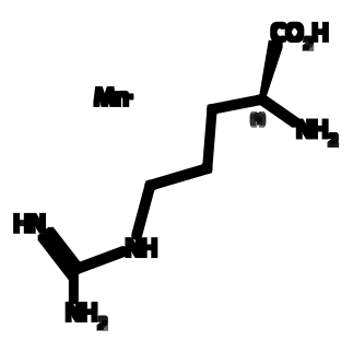 N=C(N)NCCC[C@H](N)C(=O)O.[Mn]